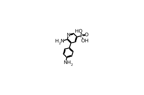 Nc1ccc(-c2cc(P(=O)(O)O)cnc2N)cc1